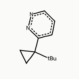 CC(C)(C)C1(c2cccnn2)CC1